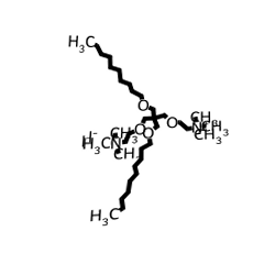 CCCCCCCCCCOCC(COCCCCCCCCCC)(COCC[N+](C)(C)C)COCC[N+](C)(C)C.[I-].[I-]